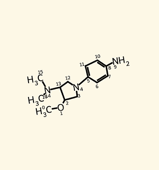 COC1CN(c2ccc(N)cc2)CC1N(C)C